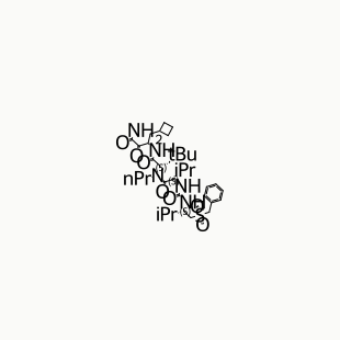 CCCN(C(=O)[C@@H](NC(=O)N[C@H](CS(=O)(=O)Cc1ccccc1)C(C)C)C(C)C)[C@@H](CC(C)(C)C)C(=O)NC(CC1CCC1)C(=O)C(N)=O